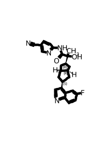 CC(O)(C(=O)Nc1ccc(C#N)cn1)[C@H]1C[C@H]2C[C@@H](c3ccnc4ccc(F)cc34)C[C@H]2C1